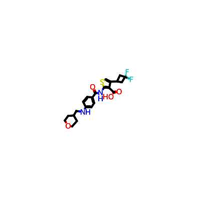 O=C(Nc1scc(C2CC(F)(F)C2)c1C(=O)O)c1ccc(NCC2CCOCC2)cc1